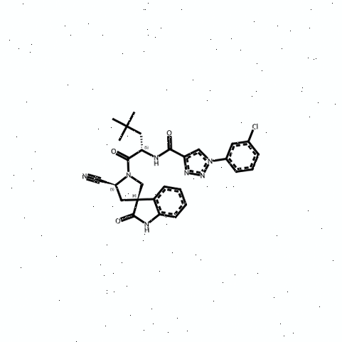 CC(C)(C)C[C@H](NC(=O)c1cn(-c2cccc(Cl)c2)nn1)C(=O)N1C[C@]2(C[C@H]1C#N)C(=O)Nc1ccccc12